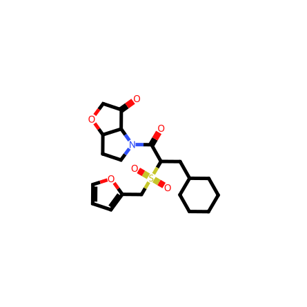 O=C1COC2CCN(C(=O)C(CC3CCCCC3)S(=O)(=O)Cc3ccco3)C12